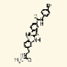 CC(=O)NCc1ccc(Cl)c(Nc2nc3cc(C(=O)Nc4ccc(Br)cc4)ccc3[nH]2)c1